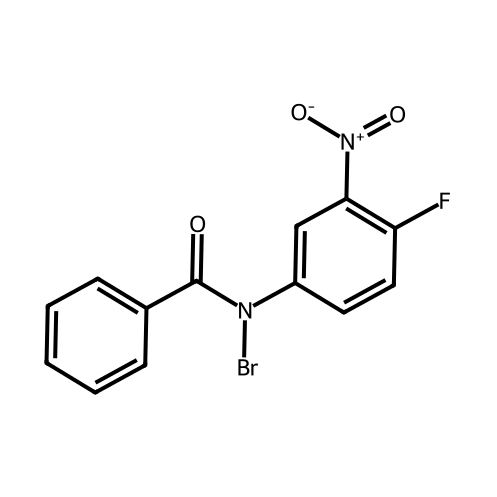 O=C(c1ccccc1)N(Br)c1ccc(F)c([N+](=O)[O-])c1